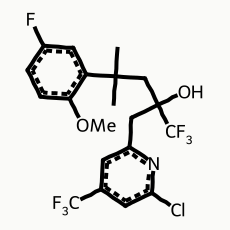 COc1ccc(F)cc1C(C)(C)CC(O)(Cc1cc(C(F)(F)F)cc(Cl)n1)C(F)(F)F